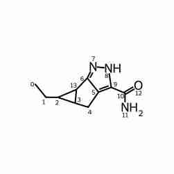 CCC1C2Cc3c(n[nH]c3C(N)=O)C12